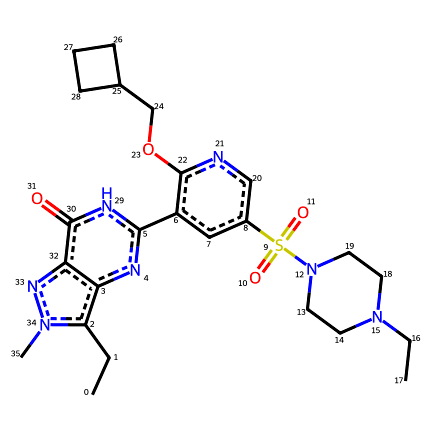 CCc1c2nc(-c3cc(S(=O)(=O)N4CCN(CC)CC4)cnc3OCC3CCC3)[nH]c(=O)c2nn1C